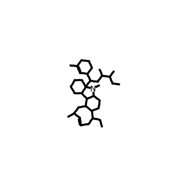 CCC(C)C(C)CC(C1C=C(C)CCC1)C12CCCCC1C1C3CC(C)/C=C/CC(CC)C3CCC1N2C